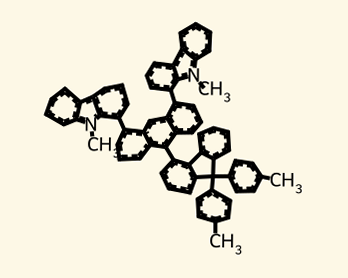 Cc1ccc(C2(c3ccc(C)cc3)c3ccccc3-c3c(-c4c5cccc(-c6cccc7c8ccccc8n(C)c67)c5cc5c(-c6cccc7c8ccccc8n(C)c67)cccc45)cccc32)cc1